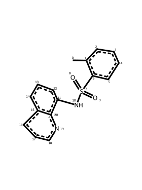 Cc1ccccc1S(=O)(=O)Nc1cccc2cccnc12